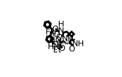 CCNC(=O)C(O)[C@H](C[C@@H]1CCNC1=O)NC(=O)C(CC1(C)CCC1)NC(=O)OC(c1ccccc1)C(F)(F)c1cccc(Cl)c1